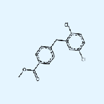 COC(=O)c1ccc(Cc2cc(Cl)ccc2Cl)cc1